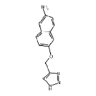 Nc1ccc2cc(OCc3nn[nH]n3)ccc2c1